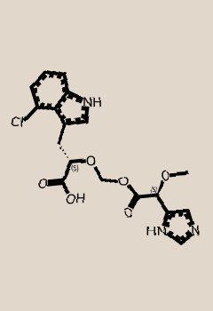 CO[C@H](C(=O)OCO[C@@H](Cc1c[nH]c2cccc(Cl)c12)C(=O)O)c1cnc[nH]1